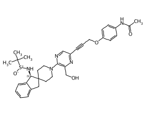 CC(=O)Nc1ccc(OCC#Cc2cnc(N3CCC4(CC3)Cc3ccccc3[C@H]4N[S+]([O-])C(C)(C)C)c(CO)n2)cc1